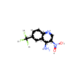 Nc1c([N+](=O)[O-])cnc2ccc(C(F)(F)F)cc12